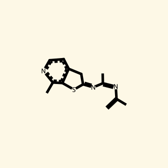 C=C(C)/N=C(C)\N=C1/Cc2ccnc(C)c2S1